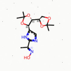 C/C(=N\O)c1ncc([C@H]2OC(C)(C)O[C@@H]2[C@H]2COC(C)(C)O2)[nH]1